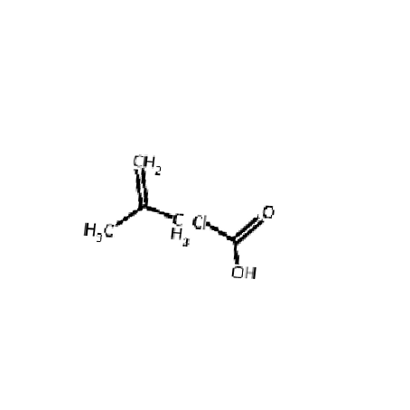 C=C(C)C.O=C(O)Cl